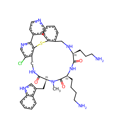 CN1C(=O)[C@H](CCCCN)NC(=O)[C@H](CCCN)NCc2ccccc2Sc2c(-c3ccncc3)ncc(Cl)c2CNC(=O)[C@@H]1Cc1c[nH]c2ccccc12